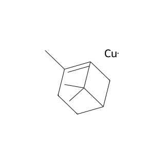 CC1=C2CC(CC1)C2(C)C.[Cu]